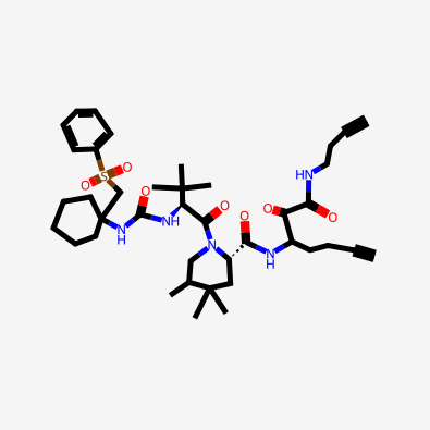 C#CCCNC(=O)C(=O)C(CCC#C)NC(=O)[C@@H]1CC(C)(C)C(C)CN1C(=O)[C@@H](NC(=O)NC1(CS(=O)(=O)c2ccccc2)CCCCC1)C(C)(C)C